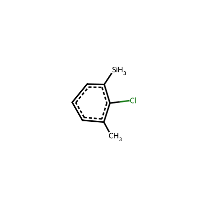 Cc1cccc([SiH3])c1Cl